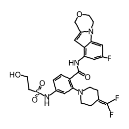 O=C(Nc1cc(F)cc2c1cc1n2CCOC1)c1ccc(NS(=O)(=O)CCO)cc1N1CCC(=C(F)F)CC1